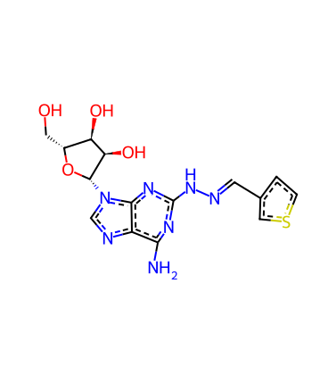 Nc1nc(N/N=C/c2ccsc2)nc2c1ncn2[C@@H]1O[C@H](CO)[C@@H](O)[C@H]1O